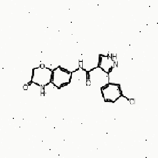 O=C1COc2cc(NC(=O)c3c[nH]nc3-c3cccc(Cl)c3)ccc2N1